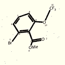 COC(=O)c1c(Br)cccc1OC(F)(F)F